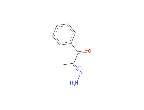 C/C(=N\N)C(=O)c1ccccc1